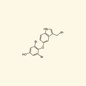 CC(C)Cc1c[nH]c2ccc(Oc3c(Br)cc(O)cc3Br)cc12